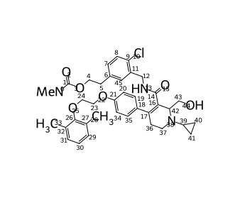 CNC(=O)OCCc1ccc(Cl)c(CNC(=O)C2=C(c3ccc(OCCOc4c(C)cccc4C)cc3)CCN(C3CC3)C2CO)c1